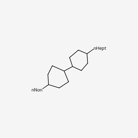 CCCCCCCCCC1CCC(C2CCC(CCCCCCC)CC2)CC1